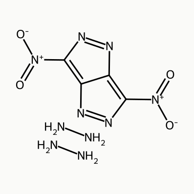 NN.NN.O=[N+]([O-])C1=C2N=NC([N+](=O)[O-])=C2N=N1